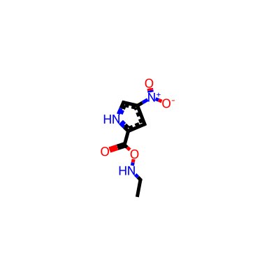 CCNOC(=O)c1cc([N+](=O)[O-])c[nH]1